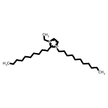 CCCCCCCCCCC[n+]1ccn(CC)c1CCCCCCCCCC